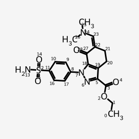 CCOC(=O)c1nn(-c2ccc(S(N)(=O)=O)cc2)c2c1CC/C(=C/N(C)C)C2=O